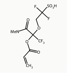 C=CC(=O)OC(OCC(F)(F)S(=O)(=O)O)(C(=O)NC)C(F)(F)F